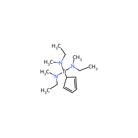 CC[N](C)[Ti]([CH]1C=CC=C1)([N](C)CC)[N](C)CC